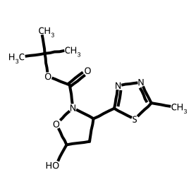 Cc1nnc(C2CC(O)ON2C(=O)OC(C)(C)C)s1